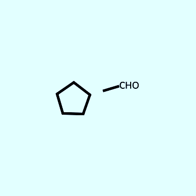 C1CCCC1.CC=O